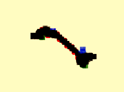 CC(C)(C)C[C@@H]1N[C@@H](C(=O)NCCOCCOCCOCCOCCOCCOc2ccc(C(=O)N[C@H]3C(C)(C)[C@H](Oc4ccc(C#N)c(Cl)c4)C3(C)C)cc2)[C@H](c2cccc(Cl)c2F)[C@@]1(C#N)c1ccc(Cl)cc1F